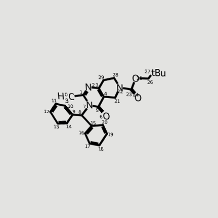 Cc1nc2c(c(=O)n1C(c1ccccc1)c1ccccc1)CN(C(=O)OCC(C)(C)C)CC2